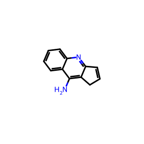 Nc1c2c(nc3ccccc13)C=CC2